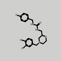 O=C(NCc1ccc(F)cc1)NCC1CN(Cc2ccc(Cl)c(Cl)c2)CCO1